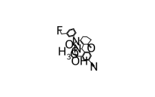 CN1C(=O)N(c2cccc(CF)c2)C2=C(C(=O)CCC2)C1c1ccc(C#N)cc1C(=O)O